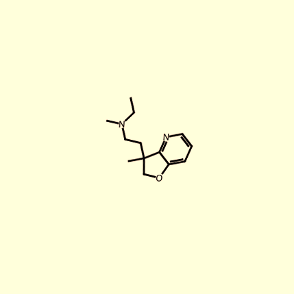 CCN(C)CCC1(C)COc2cccnc21